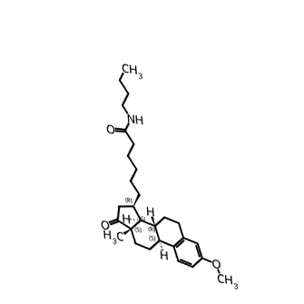 CCCCNC(=O)CCCCC[C@@H]1CC(=O)[C@@]2(C)CC[C@@H]3c4ccc(OC)cc4CC[C@H]3[C@H]12